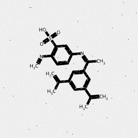 C=Nc1ccc(N=C(C)c2cc(C(=C)C)cc(C(=C)C)c2)cc1S(=O)(=O)O